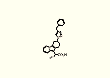 CCCC(C(=O)O)c1c2c(n3ccccc13)CC(n1cc(Cc3ccccc3)nn1)CC2